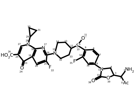 CC(=O)C(N)C1CN(c2ccc([S+]([O-])C3CCN(c4nc5c(cc4F)c(=O)c(C(=O)O)cn5C4CC4)CC3)c(F)c2)C(=O)O1